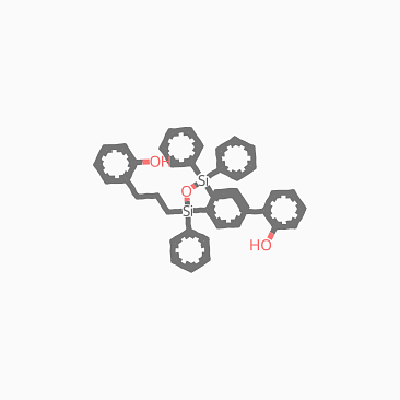 Oc1ccccc1CCC[Si](O[Si](CCCc1ccccc1O)(c1ccccc1)c1ccccc1)(c1ccccc1)c1ccccc1